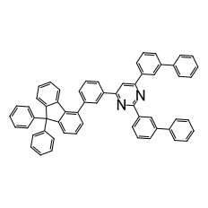 c1ccc(-c2cccc(-c3cc(-c4cccc(-c5cccc6c5-c5ccccc5C6(c5ccccc5)c5ccccc5)c4)nc(-c4cccc(-c5ccccc5)c4)n3)c2)cc1